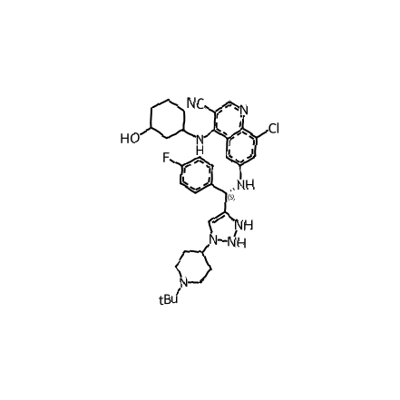 CC(C)(C)N1CCC(N2C=C([C@@H](Nc3cc(Cl)c4ncc(C#N)c(NC5CCCC(O)C5)c4c3)c3ccc(F)cc3)NN2)CC1